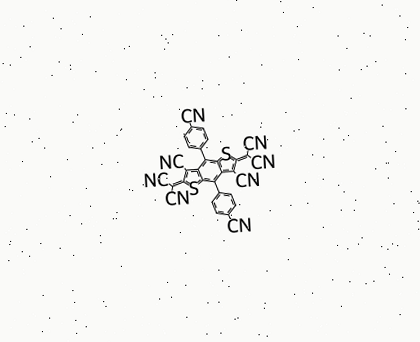 N#CC(C#N)=c1sc2c(-c3ccc(C#N)cc3)c3c(C#N)c(=C(C#N)C#N)sc3c(-c3ccc(C#N)cc3)c2c1C#N